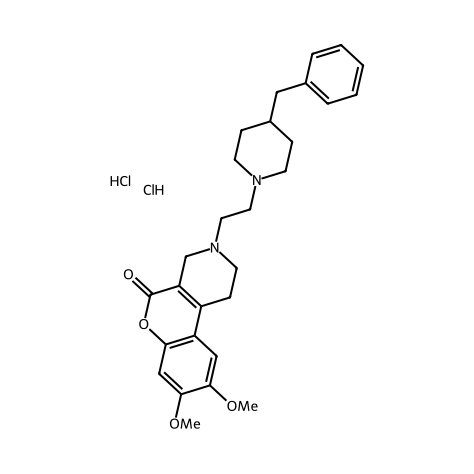 COc1cc2oc(=O)c3c(c2cc1OC)CCN(CCN1CCC(Cc2ccccc2)CC1)C3.Cl.Cl